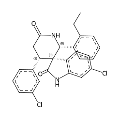 CCc1ccccc1[C@H]1NC(=O)C[C@@H](c2cccc(Cl)c2)[C@]12C(=O)Nc1cc(Cl)ccc12